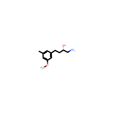 Cc1cc(CC[C@H](O)CN)cc(OC(F)(F)F)c1